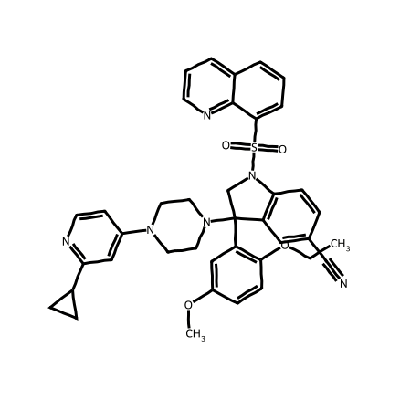 CCOc1ccc(OC)cc1C1(N2CCN(c3ccnc(C4CC4)c3)CC2)CN(S(=O)(=O)c2cccc3cccnc23)c2ccc(C#N)cc21